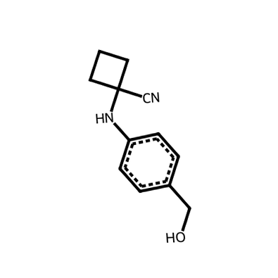 N#CC1(Nc2ccc(CO)cc2)CCC1